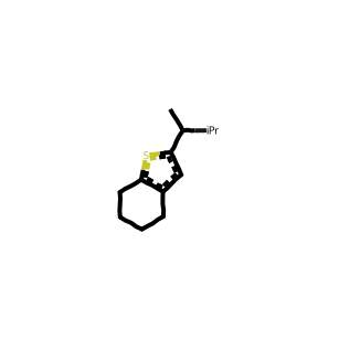 CC(C)C(C)c1cc2c(s1)CCCC2